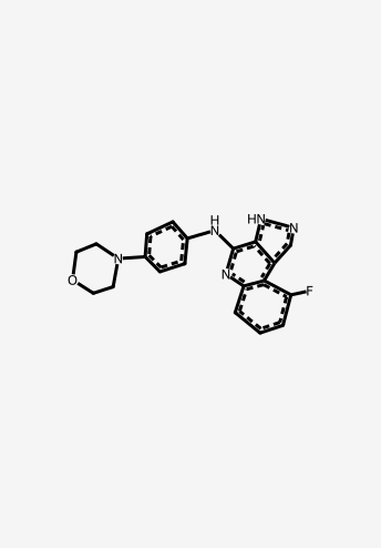 Fc1cccc2nc(Nc3ccc(N4CCOCC4)cc3)c3[nH]ncc3c12